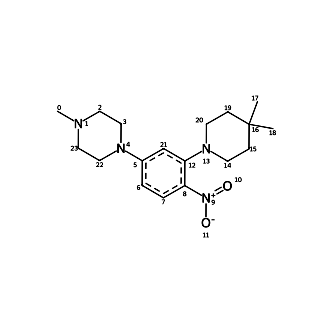 CN1CCN(c2ccc([N+](=O)[O-])c(N3CCC(C)(C)CC3)c2)CC1